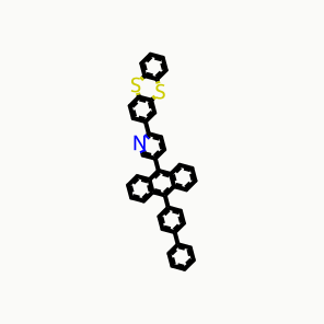 c1ccc(-c2ccc(-c3c4ccccc4c(-c4ccc(-c5ccc6c(c5)Sc5ccccc5S6)nc4)c4ccccc34)cc2)cc1